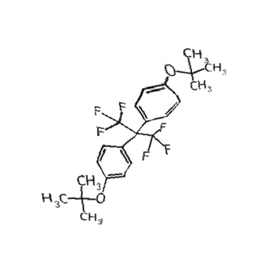 CC(C)(C)Oc1ccc(C(c2ccc(OC(C)(C)C)cc2)(C(F)(F)F)C(F)(F)F)cc1